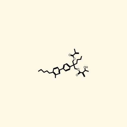 C=C(C)C(=O)OCC(CCCC)(COC(=O)C(=C)C(C)O)c1ccc(-c2ccc(CCCCC)c(C)c2)cc1